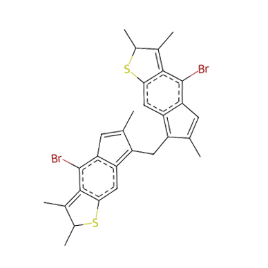 CC1=Cc2c(Br)c3c(cc2=C1CC1=c2cc4c(c(Br)c2C=C1C)=C(C)C(C)S4)SC(C)C=3C